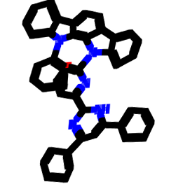 C1=C(c2ccccc2)NC(c2cccc(-n3c4ccccc4c4ccc5c6ccccc6n(-c6ccccc6)c5c43)n2)N=C1c1ccccc1